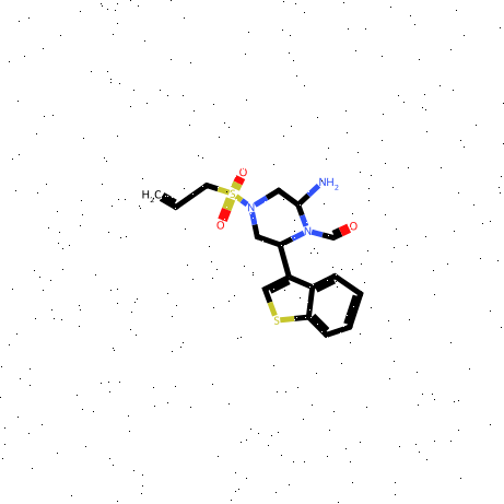 C=CCS(=O)(=O)N1CC(N)N(C=O)C(c2csc3ccccc23)C1